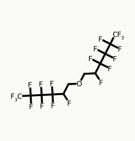 FC(COCC(F)C(F)(F)C(F)(F)C(F)(F)C(F)(F)F)C(F)(F)C(F)(F)C(F)(F)C(F)(F)F